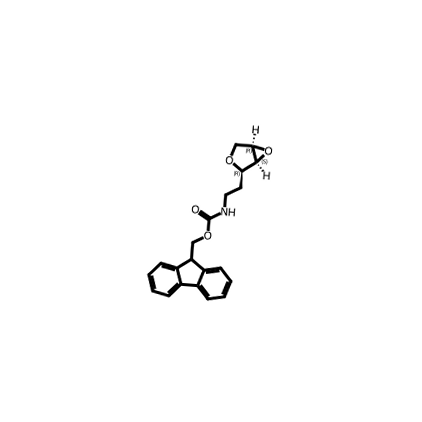 O=C(NCC[C@H]1OC[C@H]2O[C@@H]12)OCC1c2ccccc2-c2ccccc21